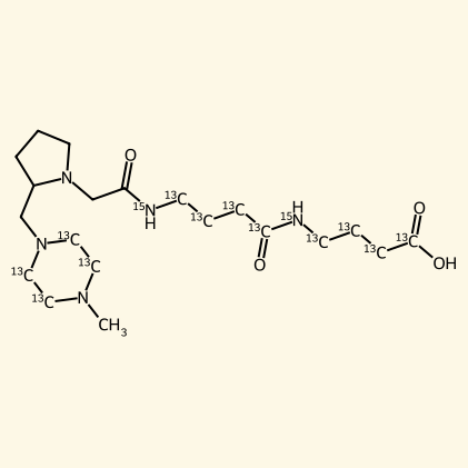 CN1[13CH2][13CH2]N(CC2CCCN2CC(=O)[15NH][13CH2][13CH2][13CH2][13C](=O)[15NH][13CH2][13CH2][13CH2][13C](=O)O)[13CH2][13CH2]1